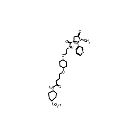 CN1C(=O)C[C@H](C(=O)NCCO[C@H]2CC[C@H](OCCCC(=O)N[C@H]3CC[C@H](C(=O)O)CC3)CC2)[C@H]1c1cccnc1